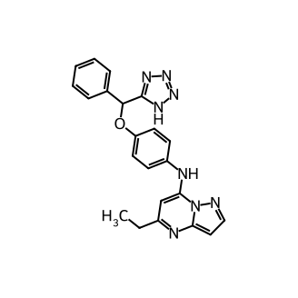 CCc1cc(Nc2ccc(OC(c3ccccc3)c3nnn[nH]3)cc2)n2nccc2n1